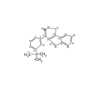 CC(C)(C)c1cccc(C2=NCCc3c2ccc2ccccc32)c1